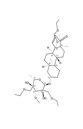 CCOCO[C@]12C=CC(=O)[C@@]1(C)CC[C@H]1[C@H]2CC[C@@H]2C[C@@H](O[C@@H]3O[C@@H](C)[C@@](O)(COCC)[C@@H](OC)[C@@]3(O)COCC)CC[C@@]21C